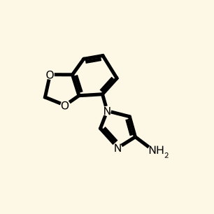 Nc1cn(-c2cccc3c2OCO3)cn1